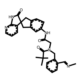 CN=Cc1ccccc1CN(CC(=O)Nc1ccc2c(c1)CC1(C2)C(=O)Nc2ncccc21)C(=O)C(C)(C)C